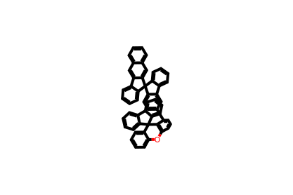 c1ccc2c(c1)Oc1cccc(-c3ccc4c(c3)-c3ccccc3C43c4ccccc4-c4cc5ccccc5cc43)c1C21c2ccccc2-c2ccccc21